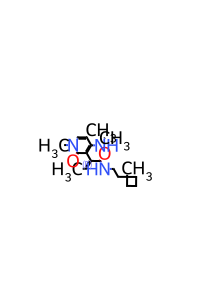 C/C=C(/C(=O)NCCC1(C)CCC1)c1c(NC)c(C)cn(C)c1=O